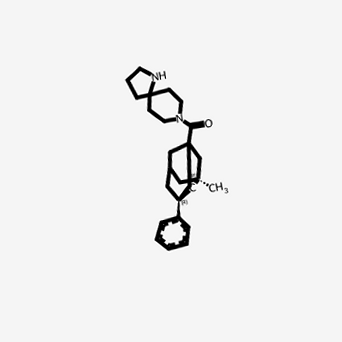 C[C@]12CC3CC(C(=O)N4CCC5(CCCN5)CC4)(C1)C[C@@](c1ccccc1)(C3)C2